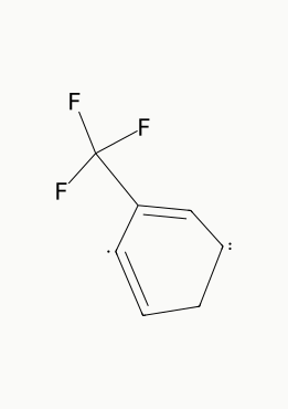 FC(F)(F)C1=C[C]CC=[C]1